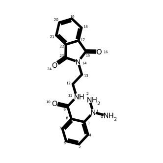 NN(N)c1ccccc1C(=O)NCCN1C(=O)c2ccccc2C1=O